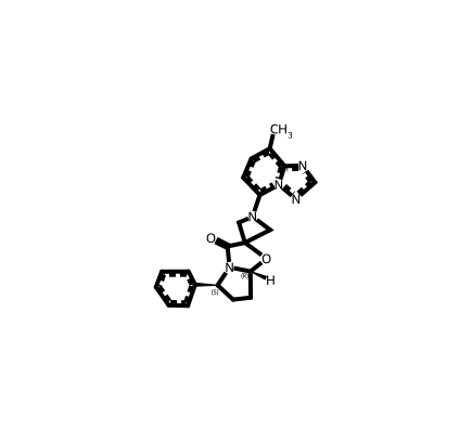 Cc1ccc(N2CC3(C2)O[C@@H]2CC[C@@H](c4ccccc4)N2C3=O)n2ncnc12